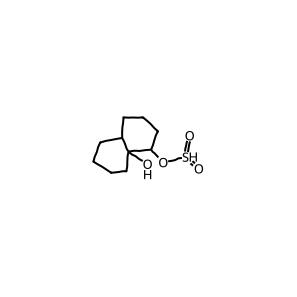 O=[SH](=O)OC1CCCC2CCCCC21O